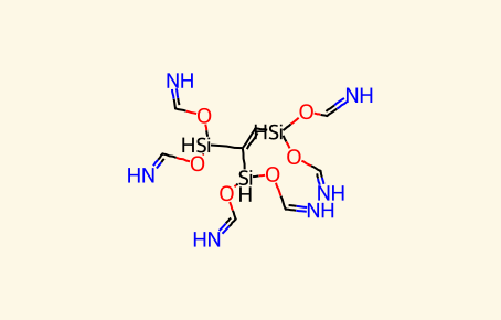 N=CO[SiH](C=C([SiH](OC=N)OC=N)[SiH](OC=N)OC=N)OC=N